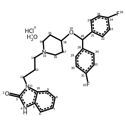 Cl.O.O=c1[nH]c2ccccc2n1CCCN1CCC(OC(c2ccc(F)cc2)c2ccc(F)cc2)CC1